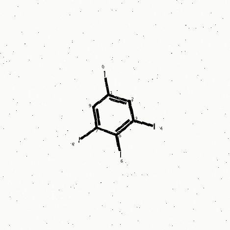 Ic1[c]c(I)c(I)c(I)c1